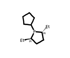 CC[C@@H]1CC[C@@H](CC)P1C1CCCC1